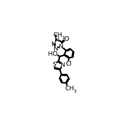 Cc1ccc(-c2csc(C(O)c3c(Cl)cccc3-n3nnn(C)c3=O)n2)cc1